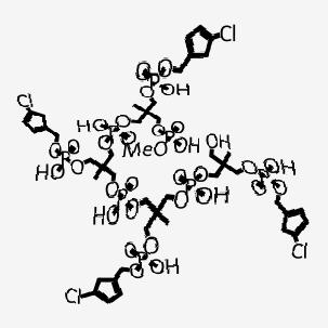 COP(=O)(O)OCC(C)(COP(=O)(O)OCC1=CC=C(Cl)C1)COP(=O)(O)OCC(C)(COP(=O)(O)OCC1=CC=C(Cl)C1)COP(=O)(O)OCC(C)(COP(=O)(O)OCC1=CC=C(Cl)C1)COP(=O)(O)OCC(C)(CO)COP(=O)(O)OCC1=CC=C(Cl)C1